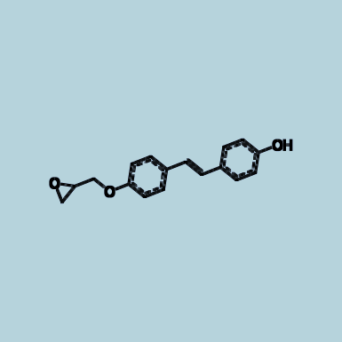 Oc1ccc(/C=C/c2ccc(OCC3CO3)cc2)cc1